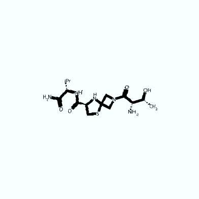 CC(C)[C@H](NC(=O)[C@@H]1CSC2(CN(C(=O)[C@@H](N)[C@@H](C)O)C2)N1)C(N)=O